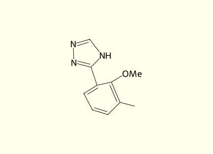 COc1c(C)cccc1-c1nnc[nH]1